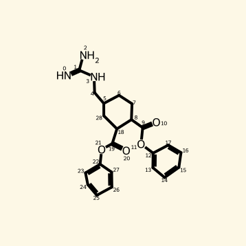 N=C(N)NCC1CCC(C(=O)Oc2ccccc2)C(C(=O)Oc2ccccc2)C1